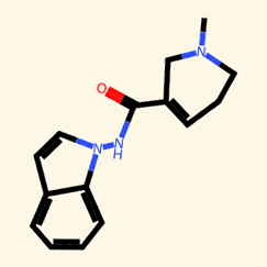 CN1CCC=C(C(=O)Nn2ccc3ccccc32)C1